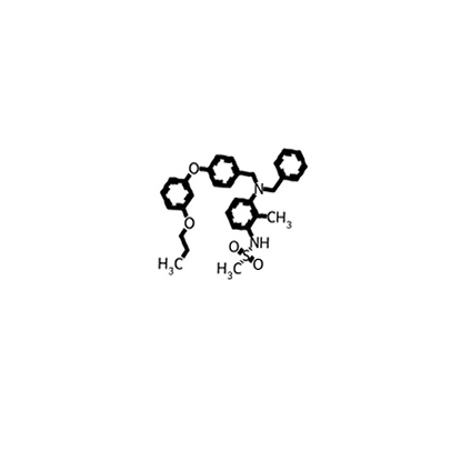 CCCOc1cccc(Oc2ccc(CN(Cc3ccccc3)c3cccc(NS(C)(=O)=O)c3C)cc2)c1